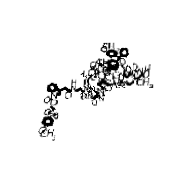 COc1ccc(C(OC[C@H]2O[C@@H](n3cc(C)c(=O)[nH]c3=O)C[C@H]2OP(OCCC#N)OC[C@H]2O[C@@H](n3cnc4c(=O)[nH]c(NC(=O)CCNC(=O)Cc5cn(C(=O)OCCS(=O)(=O)c6ccc(OC)cc6)c6ccccc56)nc43)C[C@H]2OP(OCCC#N)N(C(C)C)C(C)C)(c2ccccc2)c2ccc(OC)cc2)cc1